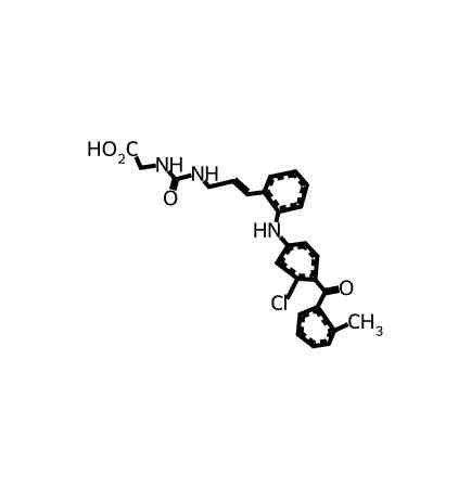 Cc1ccccc1C(=O)c1ccc(Nc2ccccc2/C=C/CNC(=O)NCC(=O)O)cc1Cl